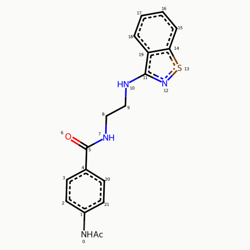 CC(=O)Nc1ccc(C(=O)NCCNc2nsc3ccccc23)cc1